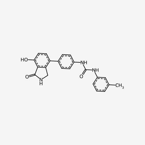 Cc1cccc(NC(=O)Nc2ccc(-c3ccc(O)c4c3CNC4=O)cc2)c1